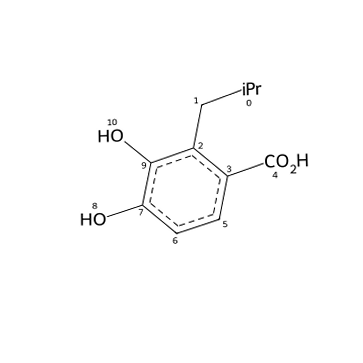 CC(C)Cc1c(C(=O)O)ccc(O)c1O